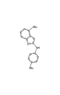 CC(C)(C)c1ccc(Nc2cc3c(C(C)(C)C)cccc3o2)cc1